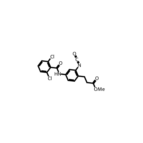 COC(=O)CCc1ccc(NC(=O)c2c(Cl)cccc2Cl)cc1N=C=O